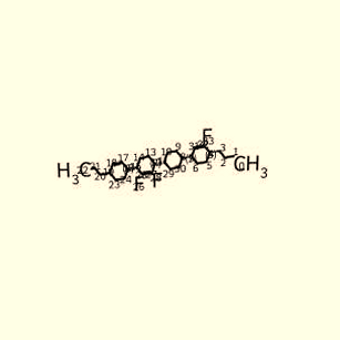 CCCC[C@H]1CC[C@@H](C2CCC([C@H]3CCC([C@@H]4C=CC(CCC)CC4)C(F)=C3F)CC2)C=C1F